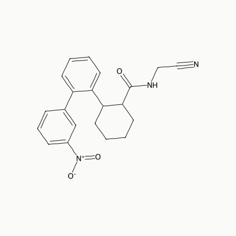 N#CCNC(=O)C1CCCCC1c1ccccc1-c1cccc([N+](=O)[O-])c1